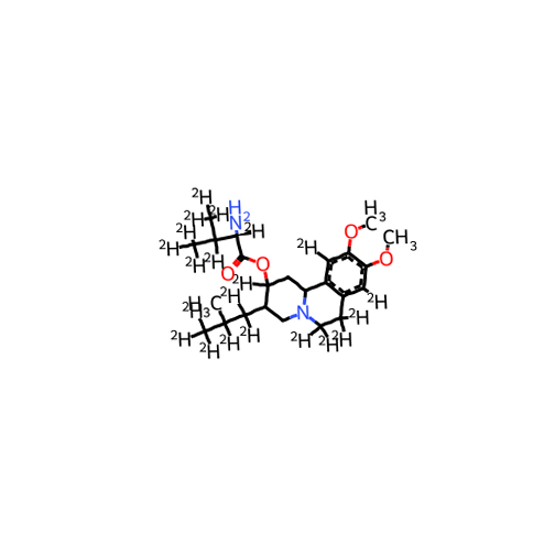 [2H]c1c(OC)c(OC)c([2H])c2c1C1CC([2H])(OC(=O)[C@@]([2H])(N)C([2H])(C([2H])([2H])[2H])C([2H])([2H])[2H])C(C([2H])([2H])C([2H])(C)C([2H])([2H])[2H])CN1C([2H])([2H])C2([2H])[2H]